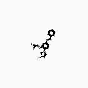 CCN1C=CN(c2ccc(OCc3ccccc3)cc2OCC(F)F)C1